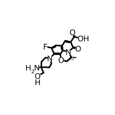 C[C@H]1COc2c(N3CCC(N)(CO)CC3)c(F)cc3cc(C(=O)O)c(=O)n1c23